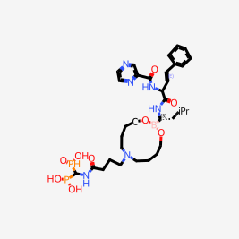 CC(C)C[C@@H](NC(=O)C(/C=C/c1ccccc1)NC(=O)c1cnccn1)B1OCCCCN(CCCC(=O)NC(P(O)O)[PH](=O)O)CCCCO1